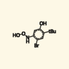 CC(C)(C)c1cc(Br)c(NOO)cc1O